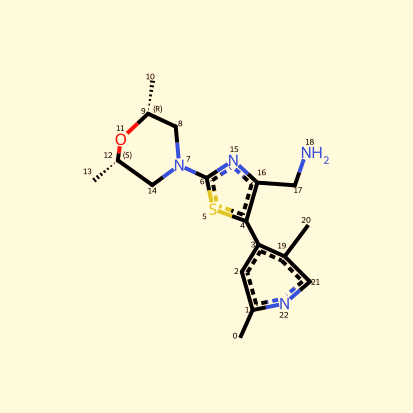 Cc1cc(-c2sc(N3C[C@@H](C)O[C@@H](C)C3)nc2CN)c(C)cn1